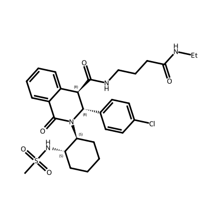 CCNC(=O)CCCNC(=O)[C@@H]1c2ccccc2C(=O)N([C@H]2CCCC[C@@H]2NS(C)(=O)=O)[C@H]1c1ccc(Cl)cc1